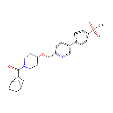 CS(=O)(=O)c1ccc(-c2ccc(COC3CCN(C(=O)C4CC5CCC4C5)CC3)nc2)cc1